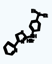 Br.CCN(CC)c1ccc(Nc2nc(-c3ccccn3)cs2)cc1